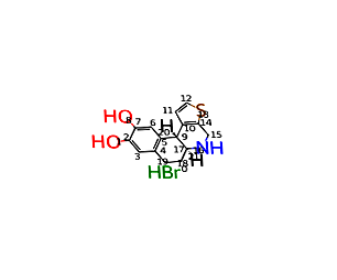 Br.Oc1cc2c(cc1O)[C@@H]1c3ccsc3CN[C@H]1CC2